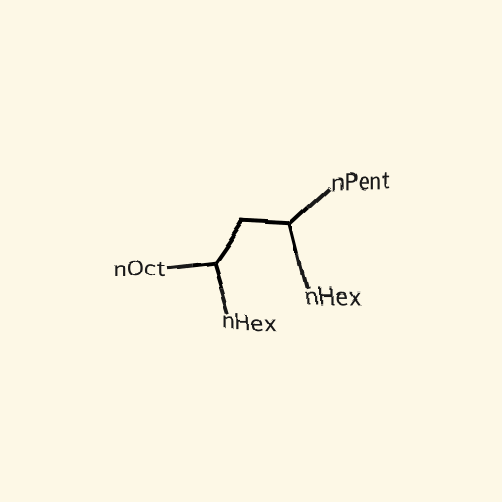 CCCCCCCCC(CCCCCC)CC(CCCCC)CCCCCC